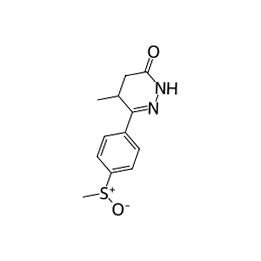 CC1CC(=O)NN=C1c1ccc([S+](C)[O-])cc1